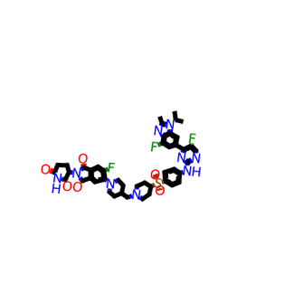 Cc1nc2c(F)cc(-c3nc(Nc4ccc(S(=O)(=O)C5CCN(CC6CCN(c7cc8c(cc7F)C(=O)N(C7CCC(=O)NC7=O)C8=O)CC6)CC5)cc4)ncc3F)cc2n1C(C)C